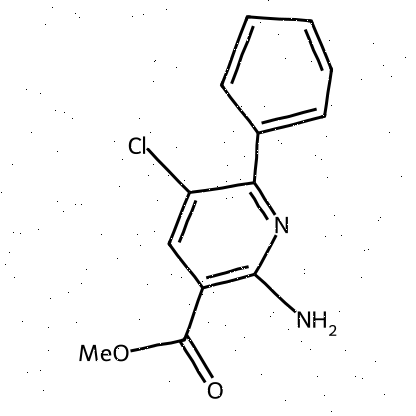 COC(=O)c1cc(Cl)c(-c2ccccc2)nc1N